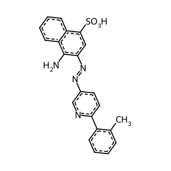 Cc1ccccc1-c1ccc(N=Nc2cc(S(=O)(=O)O)c3ccccc3c2N)cn1